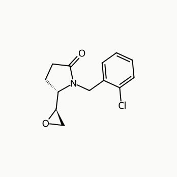 O=C1CC[C@@H]([C@H]2CO2)N1Cc1ccccc1Cl